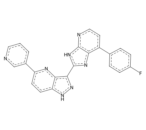 Fc1ccc(-c2ccnc3[nH]c(-c4n[nH]c5ccc(-c6cccnc6)nc45)nc23)cc1